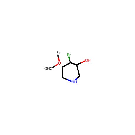 CCOC=O.OC1CNCCC1Br